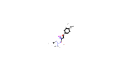 C=C(C)CN(CC)C(=O)c1cc(-c2ccc(C(C)(C)C)cc2)on1